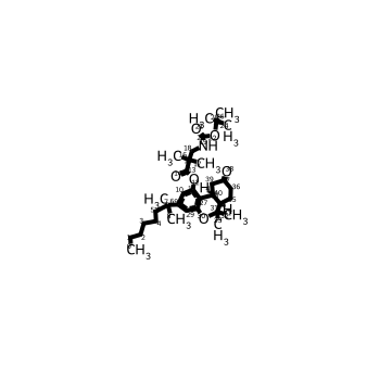 CCCCCCC(C)(C)c1cc(OC(=O)C(C)(C)CNC(=O)OC(C)(C)C)c2c(c1)OC(C)(C)[C@@H]1CCC(=O)C[C@@H]21